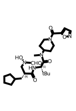 CN(C(=O)[C@@H](NC(=O)[C@H](CC1CCCC1)CN(O)C=O)C(C)(C)C)C1CCN(C(=O)c2ccno2)CC1